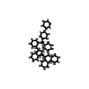 c1ccc(-c2ccc(N3c4ccccc4-c4c(n(-c5cc6ccccc6c6ccccc56)c5ccccc45)-c4ccccc43)cc2)cc1